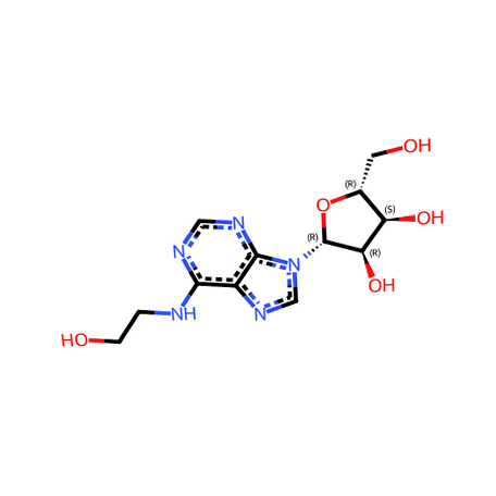 OCCNc1ncnc2c1ncn2[C@@H]1O[C@H](CO)[C@@H](O)[C@H]1O